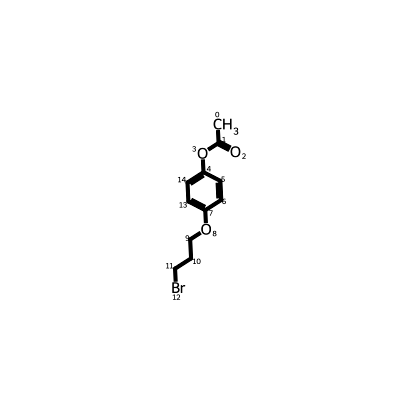 CC(=O)Oc1ccc(OCCCBr)cc1